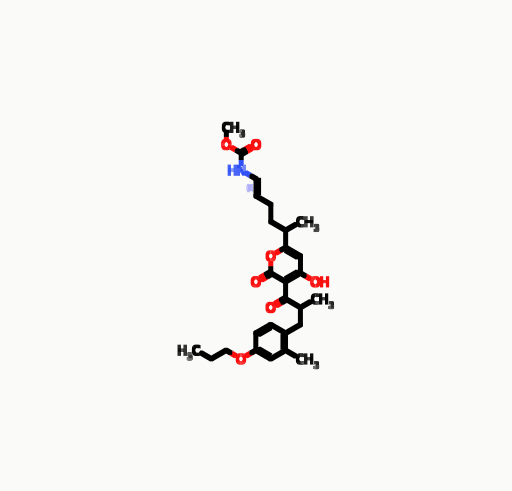 CCCOc1ccc(CC(C)C(=O)c2c(O)cc(C(C)CC/C=C/NC(=O)OC)oc2=O)c(C)c1